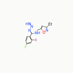 CCc1cc(CN/C(=N\N=N)c2ccc(F)cc2I)on1